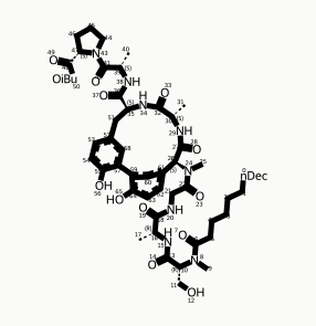 CCCCCCCCCCCCCCCC(=O)N(C)[C@H](CO)C(=O)N[C@H](C)C(=O)NCC(=O)N(C)[C@@H]1C(=O)N[C@@H](C)C(=O)N[C@H](C(=O)N[C@@H](C)C(=O)N2CCC[C@H]2C(=O)OCC(C)C)Cc2ccc(O)c(c2)-c2cc1ccc2O